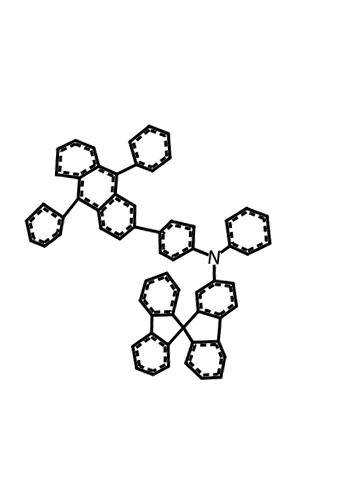 c1ccc(-c2c3ccccc3c(-c3ccccc3)c3cc(-c4ccc(N(c5ccccc5)c5ccc6c(c5)C5(c7ccccc7-c7ccccc75)c5ccccc5-6)cc4)ccc23)cc1